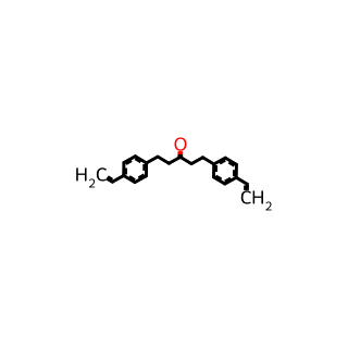 C=Cc1ccc(CCC(=O)CCc2ccc(C=C)cc2)cc1